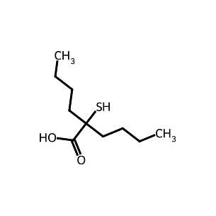 CCCCC(S)(CCCC)C(=O)O